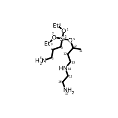 CCO[Si](CCCN)(OCC)OC(C)CCNCCN